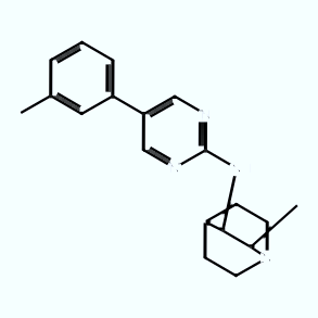 Cc1cccc(-c2cnc(NC3C4CCN(CC4)C3C)nc2)c1